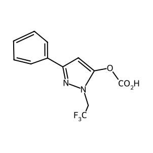 O=C(O)Oc1cc(-c2ccccc2)nn1CC(F)(F)F